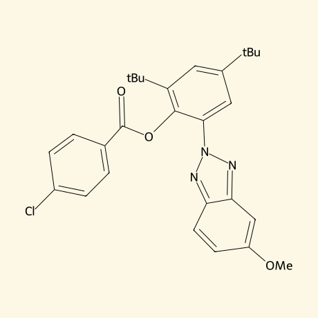 COc1ccc2nn(-c3cc(C(C)(C)C)cc(C(C)(C)C)c3OC(=O)c3ccc(Cl)cc3)nc2c1